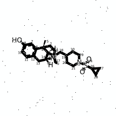 CN1CC[C@@]2(C)c3cc(O)ccc3C[C@@H]1[C@@H]2N(C)CC1CCN(S(=O)(=O)C2CC2)CC1